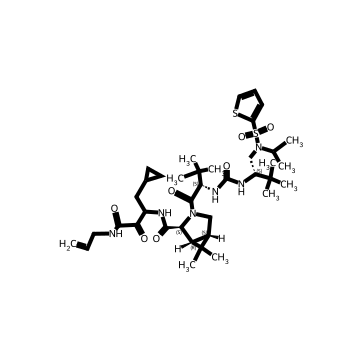 C=CCNC(=O)C(=O)C(CC1CC1)NC(=O)[C@@H]1[C@@H]2[C@H](CN1C(=O)[C@@H](NC(=O)N[C@H](CN(C(C)C)S(=O)(=O)c1cccs1)C(C)(C)C)C(C)(C)C)C2(C)C